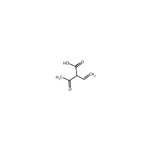 C=CC(C(C)=O)C(=O)O